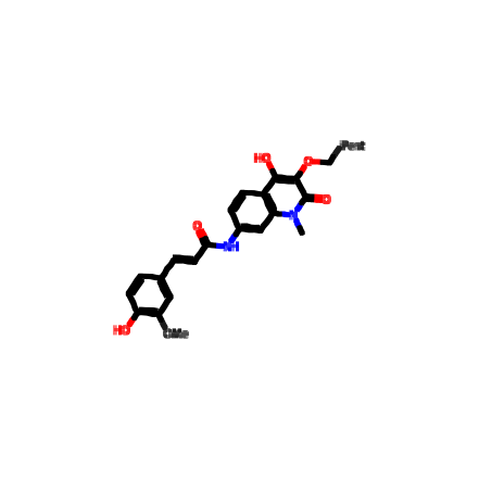 CCCC(C)COc1c(O)c2ccc(NC(=O)C=Cc3ccc(O)c(OC)c3)cc2n(C)c1=O